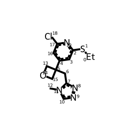 CCSc1cc(C2(Cc3nncn3C)COC2)cc(Cl)n1